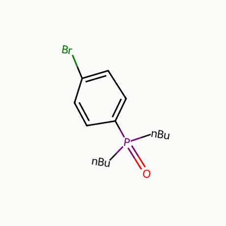 CCCCP(=O)(CCCC)c1ccc(Br)cc1